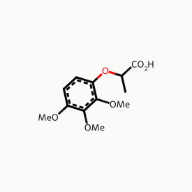 COc1ccc(OC(C)C(=O)O)c(OC)c1OC